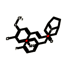 CC(=O)Nc1cc(Cl)c(OC(F)(F)F)cc1/C=C/C(=O)N1C2CCC1CN(Cc1ccc(F)cc1)C2